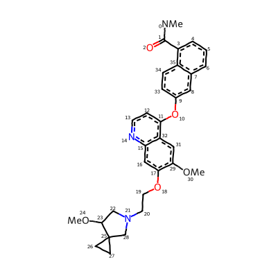 CNC(=O)c1cccc2cc(Oc3ccnc4cc(OCCN5CC(OC)C6(CC6)C5)c(OC)cc34)ccc12